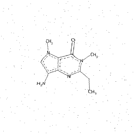 CCc1nc2c(N)cn(C)c2c(=O)n1C